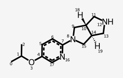 CC(C)Oc1ccc(N2C[C@@H]3CNC[C@H]3C2)nc1